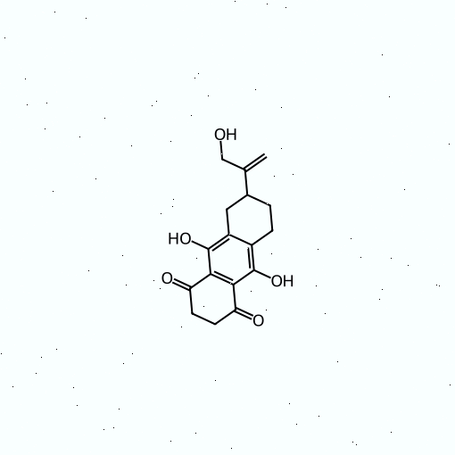 C=C(CO)C1CCc2c(O)c3c(c(O)c2C1)C(=O)CCC3=O